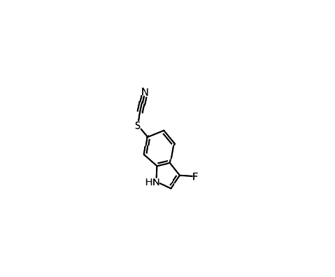 N#CSc1ccc2c(F)c[nH]c2c1